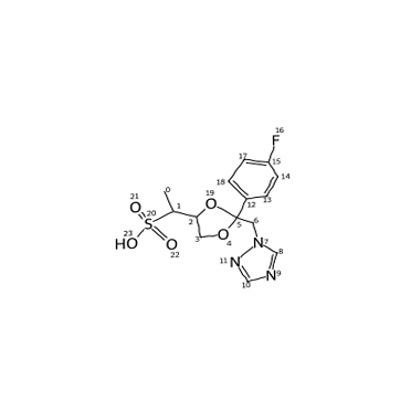 CC(C1COC(Cn2cncn2)(c2ccc(F)cc2)O1)S(=O)(=O)O